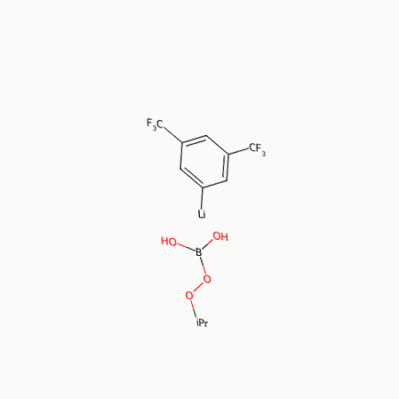 CC(C)OOB(O)O.[Li][c]1cc(C(F)(F)F)cc(C(F)(F)F)c1